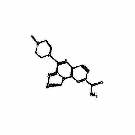 CN1CCN(c2nc3ccc(C(N)=O)cc3n3cnnc23)CC1